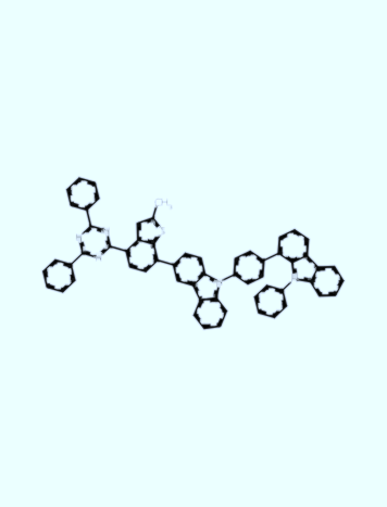 Cc1cc2c(-c3nc(-c4ccccc4)nc(-c4ccccc4)n3)ccc(-c3ccc4c(c3)c3ccccc3n4-c3ccc(-c4cccc5c6ccccc6n(-c6ccccc6)c45)cc3)c2s1